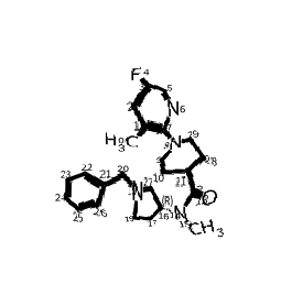 Cc1cc(F)cnc1N1CCC(C(=O)N(C)[C@@H]2CCN(Cc3ccccc3)C2)CC1